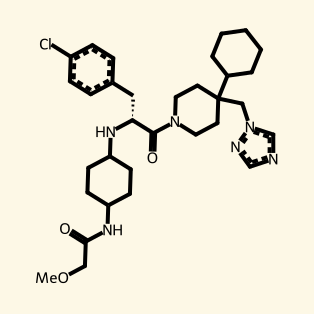 COCC(=O)NC1CCC(N[C@H](Cc2ccc(Cl)cc2)C(=O)N2CCC(Cn3cncn3)(C3CCCCC3)CC2)CC1